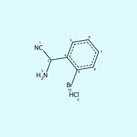 Cl.N#CC(N)c1ccccc1Br